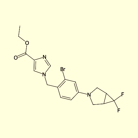 CCOC(=O)c1cn(Cc2ccc(N3CC4C(C3)C4(F)F)cc2Br)cn1